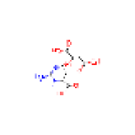 CCC(C(=O)O)N(C)C(=N)N.O=C(O)CC(O)C(=O)O